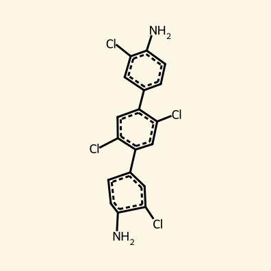 Nc1ccc(-c2cc(Cl)c(-c3ccc(N)c(Cl)c3)cc2Cl)cc1Cl